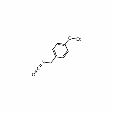 CCOc1ccc(CN=C=O)cc1